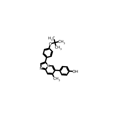 Cc1cc2ncc(-c3ccc(OC(C)(C)C)cc3)n2cc1-c1ccc(O)cc1